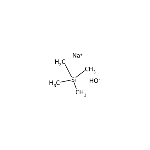 C[Si](C)(C)C.[Na+].[OH-]